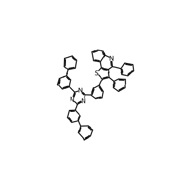 c1ccc(-c2cccc(-c3nc(-c4cccc(-c5ccccc5)c4)nc(-c4cccc(-c5sc6c(c(-c7ccccc7)nc7ccccc76)c5-c5ccccc5)c4)n3)c2)cc1